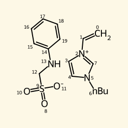 C=C[n+]1ccn(CCCC)c1.O=S(=O)([O-])CNc1ccccc1